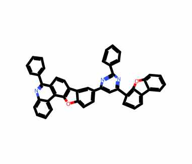 c1ccc(-c2nc(-c3ccc4oc5c(ccc6c(-c7ccccc7)nc7ccccc7c65)c4c3)cc(-c3cccc4c3oc3ccccc34)n2)cc1